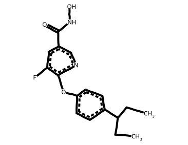 CCC(CC)c1ccc(Oc2ncc(C(=O)NO)cc2F)cc1